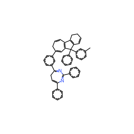 Cc1cccc(C2(c3ccccc3)C3=C(C=CCC(c4cccc(C5=NC(c6ccccc6)=NC(c6ccccc6)=CC5)c4)=C3)C3=C2C=CCC3)c1